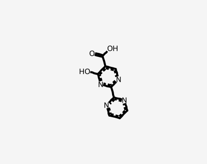 O=C(O)c1cnc(-c2ncccn2)nc1O